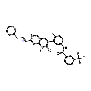 Cc1ccc(NC(=O)c2cccc(C(F)(F)F)c2)cc1-c1cc2cnc(/C=C/Cc3ccccc3)cc2n(C)c1=O